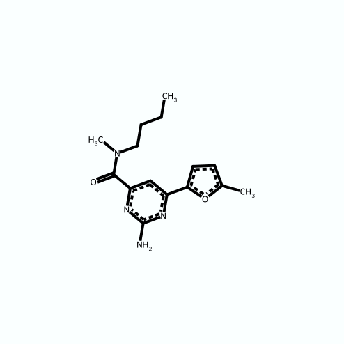 CCCCN(C)C(=O)c1cc(-c2ccc(C)o2)nc(N)n1